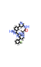 CC(C)C1OC1Nc1cncc(-c2ccc3[nH]nc(-c4nc5c(-c6ccccc6F)ccnc5[nH]4)c3c2)c1